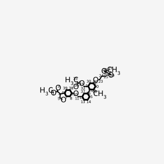 COC(=O)C1COc2cc(OCc3cccc(-c4c(C)cc(OCCCS(C)(=O)=O)cc4COC(C)=O)c3)ccc21